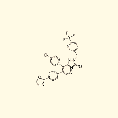 O=c1n(Cc2ccc(C(F)(F)F)nc2)nc2c(-c3ccc(Cl)cc3)c(-c3ccc(-c4ncco4)cc3)cnn12